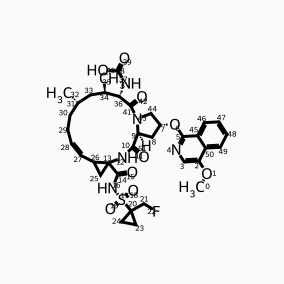 COc1cnc(O[C@@H]2C[C@H]3C(=O)NC4(C(=O)NS(=O)(=O)C5(CF)CC5)CC4/C=C\CC[C@H](C)C[C@@H](C)[C@H](NC(=O)O)C(=O)N3C2)c2ccccc12